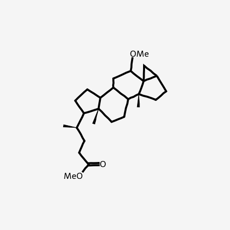 COC(=O)CC[C@@H](C)C1CCC2C3CC(OC)C45CC4CC[C@]5(C)C3CC[C@@]21C